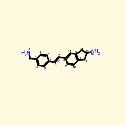 NCc1ccc(/C=C/c2ccc3c(c2)CC(N)C3)cc1